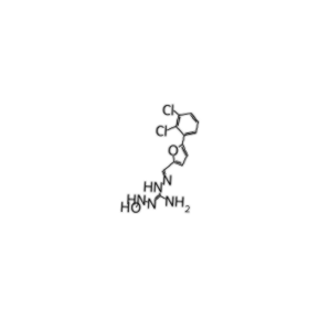 N/C(=N/NO)N/N=C/c1ccc(-c2cccc(Cl)c2Cl)o1